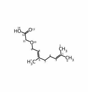 CC(C)=CCCC(C)=CCOCC(=O)O